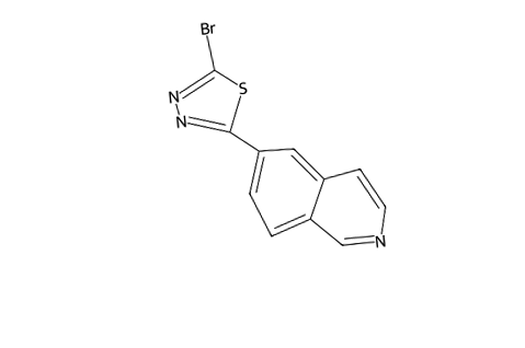 Brc1nnc(-c2ccc3cnccc3c2)s1